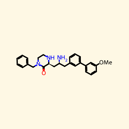 COc1cccc(-c2cccc(C[C@H](N)C[C@@H]3NCCN(Cc4ccccc4)C3=O)c2)c1